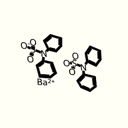 O=S(=O)([O-])N(c1ccccc1)c1ccccc1.O=S(=O)([O-])N(c1ccccc1)c1ccccc1.[Ba+2]